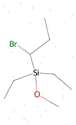 CCC(Br)[Si](CC)(CC)OC